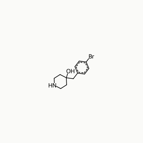 OC1(Cc2ccc(Br)cc2)CCNCC1